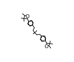 CC1OC(c2ccc(CCC(C)(C)CCc3ccc(C4OC(C)C4(C)C)cc3)cc2)C1(C)C